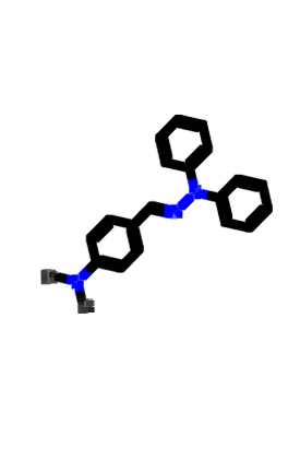 CCN(CC)c1ccc(C=NN(c2ccccc2)c2ccccc2)cc1